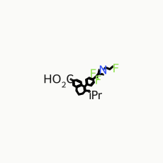 CC(C)CC1=C(c2ccc(C(F)(F)C3CN(CCCF)C3)cc2)c2ccc(C(=O)O)cc2CCC1